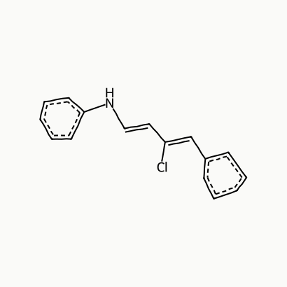 ClC(C=CNc1ccccc1)=Cc1ccccc1